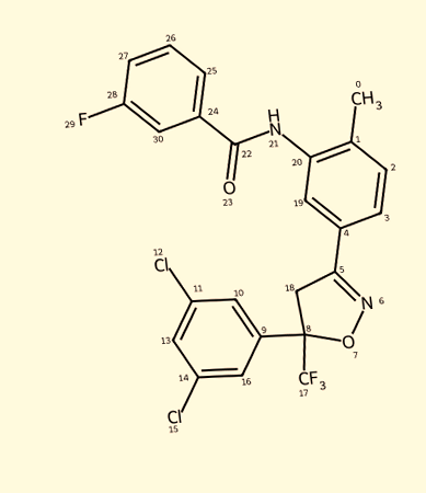 Cc1ccc(C2=NOC(c3cc(Cl)cc(Cl)c3)(C(F)(F)F)C2)cc1NC(=O)c1cccc(F)c1